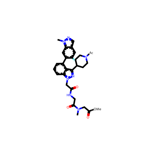 COC(=O)CN(C)C(=O)CNC(=O)Cn1nc(C2CCN(C(C)=O)CC2)c2c(-c3cc4c(cnn4C)cc3F)cccc21